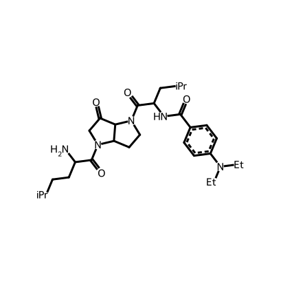 CCN(CC)c1ccc(C(=O)NC(CC(C)C)C(=O)N2CCC3C2C(=O)CN3C(=O)C(N)CCC(C)C)cc1